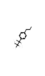 CC[CH]c1ccc(C(Cl)(Cl)C(Cl)(Cl)Cl)cc1